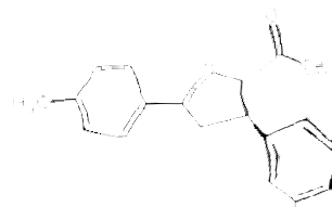 Cc1ccc(C2=N[C@H](C(=O)O)[C@@H](c3ccccc3)C2)cc1